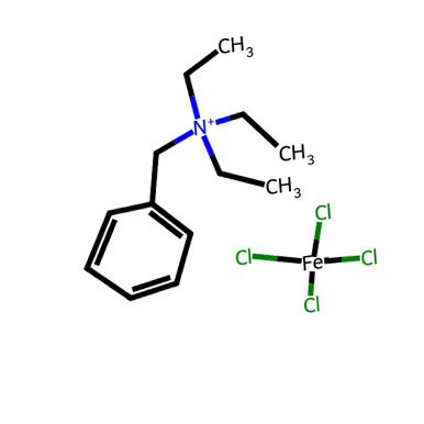 CC[N+](CC)(CC)Cc1ccccc1.[Cl][Fe-]([Cl])([Cl])[Cl]